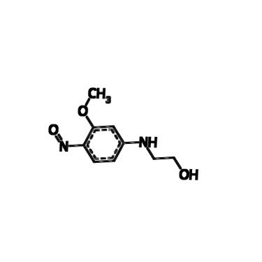 COc1cc(NCCO)ccc1N=O